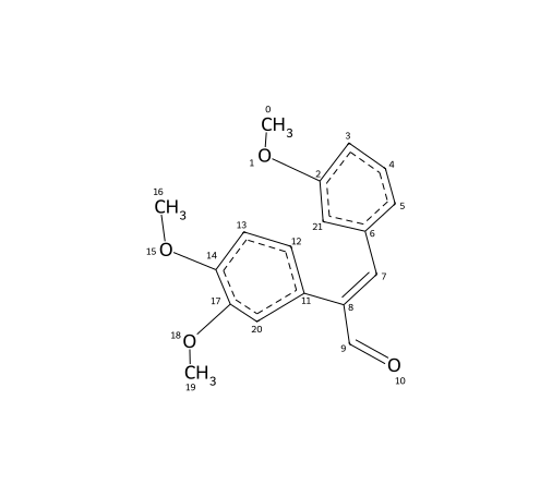 COc1cccc(/C=C(/C=O)c2ccc(OC)c(OC)c2)c1